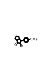 COc1ccc(C2C(Br)C(=O)C3CCCC32)cc1